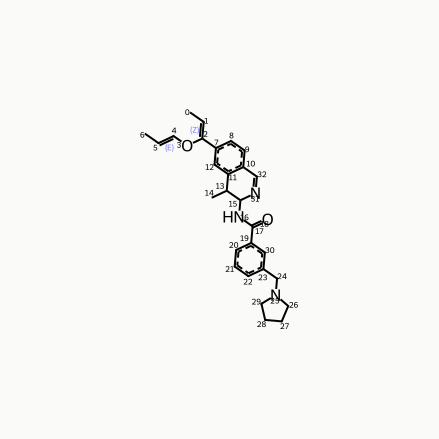 C/C=C(\O/C=C/C)c1ccc2c(c1)C(C)C(NC(=O)c1cccc(CN3CCCC3)c1)N=C2